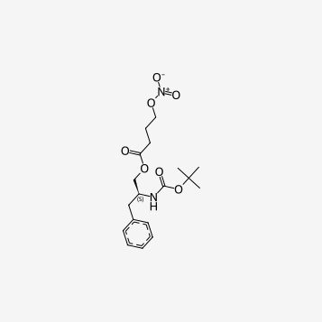 CC(C)(C)OC(=O)N[C@H](COC(=O)CCCO[N+](=O)[O-])Cc1ccccc1